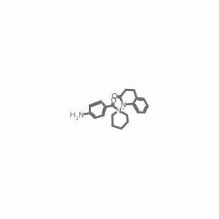 Nc1ccc(C(=O)[N+]2(N3C(=O)CCc4ccccc43)CCCCC2)cc1